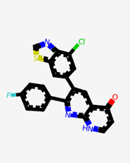 O=c1cc[nH]c2nc(-c3ccc(F)cc3)c(-c3cc(Cl)c4ncsc4c3)cc12